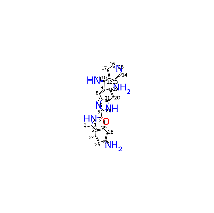 CC(NC(=O)c1nc2cc(C(=N)c3ccncc3)c(N)cc2[nH]1)c1ccc(N)cc1